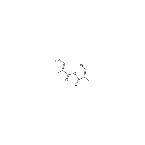 CCC=C(C)C(=O)OC(=O)C(C)=CCCC